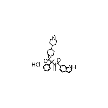 CN1CCC(C2CCN(C(=O)[C@](C)(NC(=O)c3ccc4cc[nH]c4c3)c3ccccc3)CC2)CC1.Cl